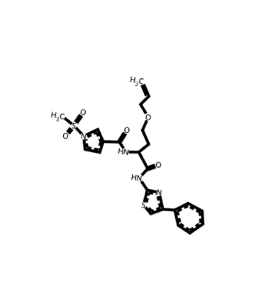 C=CCOCCC(NC(=O)c1ccn(S(C)(=O)=O)c1)C(=O)Nc1nc(-c2ccccc2)cs1